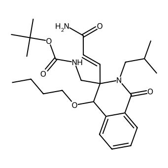 CCCCOC1c2ccccc2C(=O)N(CC(C)C)C1(C=CC(N)=O)CNC(=O)OC(C)(C)C